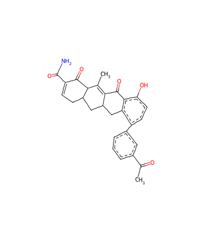 CC(=O)c1cccc(-c2ccc(O)c3c2CC2CC4CC=C(C(N)=O)C(=O)C4C(C)=C2C3=O)c1